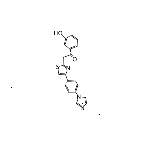 O=C(Cc1nc(-c2ccc(-n3ccnc3)cc2)cs1)c1cccc(O)c1